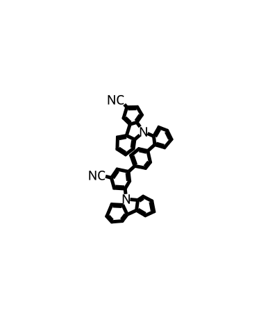 N#Cc1cc(-c2ccc(-c3ccccc3-n3c4ccccc4c4cc(C#N)ccc43)cc2)cc(-n2c3ccccc3c3ccccc32)c1